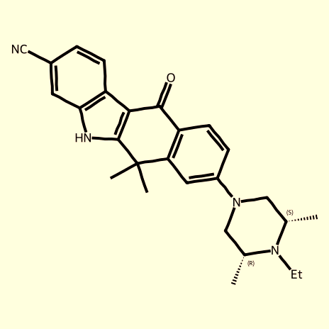 CCN1[C@H](C)CN(c2ccc3c(c2)C(C)(C)c2[nH]c4cc(C#N)ccc4c2C3=O)C[C@@H]1C